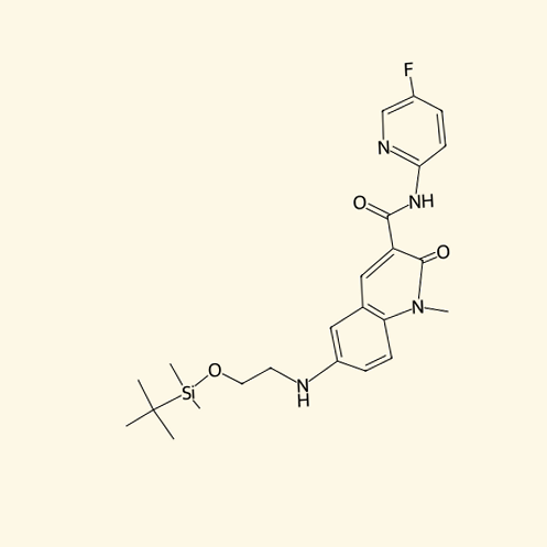 Cn1c(=O)c(C(=O)Nc2ccc(F)cn2)cc2cc(NCCO[Si](C)(C)C(C)(C)C)ccc21